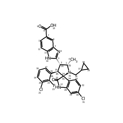 C[C@H]1[C@@H](c2nc3cc(C(=O)O)ccc3[nH]2)[C@H](c2cccc(Cl)c2F)[C@]2(C(=O)Nc3cc(Cl)ccc32)N1CC1CC1